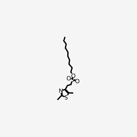 CCCCCCCCCCOS(=O)(=O)CCc1nc(C)sc1C